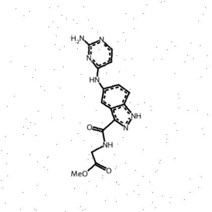 COC(=O)CNC(=O)c1n[nH]c2ccc(Nc3ccnc(N)n3)cc12